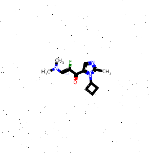 Cc1ncc(C(=O)/C(F)=C/N(C)C)n1C1CCC1